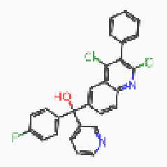 OC(c1ccc(F)cc1)(c1cccnc1)c1ccc2nc(Cl)c(-c3ccccc3)c(Cl)c2c1